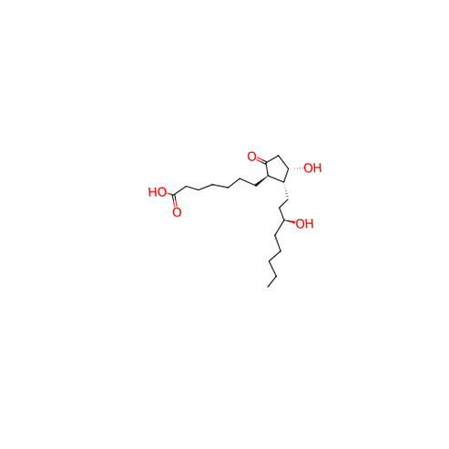 CCCCC[C@H](O)CC[C@H]1[C@@H](O)CC(=O)[C@@H]1CCCCCCC(=O)O